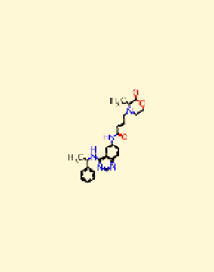 C[C@@H](Nc1ncnc2ccc(NC(=O)/C=C/CN3CCOC(=O)[C@@H]3C)cc12)c1ccccc1